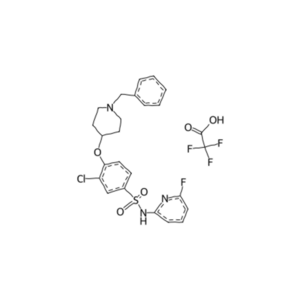 O=C(O)C(F)(F)F.O=S(=O)(Nc1cccc(F)n1)c1ccc(OC2CCN(Cc3ccccc3)CC2)c(Cl)c1